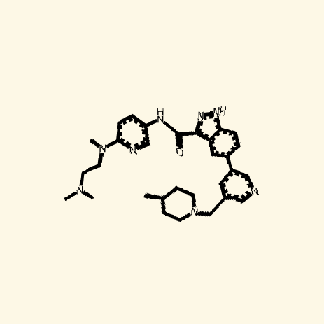 CC1CCN(Cc2cncc(-c3ccc4[nH]nc(C(=O)Nc5ccc(N(C)CCN(C)C)nc5)c4c3)c2)CC1